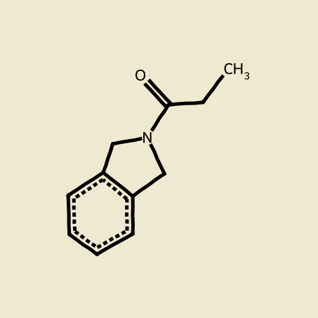 CCC(=O)N1Cc2ccccc2C1